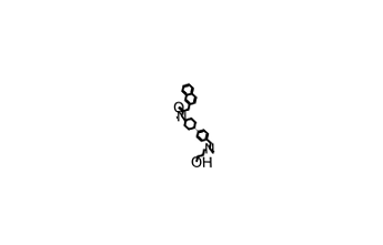 CN(CCCO)Cc1ccc([C@H]2CC[C@H](N(C)C(=O)Cc3ccc4ccccc4c3)CC2)cc1